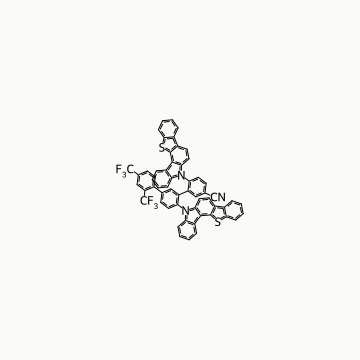 N#Cc1ccc(-n2c3ccccc3c3c4sc5ccccc5c4ccc32)c(-c2cc(-c3ccc(C(F)(F)F)cc3C(F)(F)F)ccc2-n2c3ccccc3c3c4sc5ccccc5c4ccc32)c1